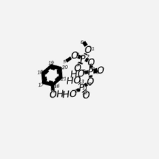 COP(=O)(OC)OP(=O)(O)OP(=O)(O)O.Oc1ccccc1